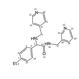 CCc1ccc(C(NCc2ccncc2)C(=O)NCc2cccnc2)cc1